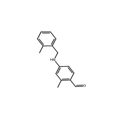 Cc1cc(NCc2ccccc2C)ccc1C=O